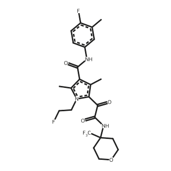 Cc1cc(NC(=O)c2c(C)c(C(=O)C(=O)NC3(C(F)(F)F)CCOCC3)n(CCF)c2C)ccc1F